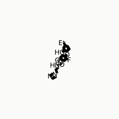 CCc1ccc(Oc2ccc(S(=O)(=O)NCCCn3ccnc3)cc2F)c(O)c1